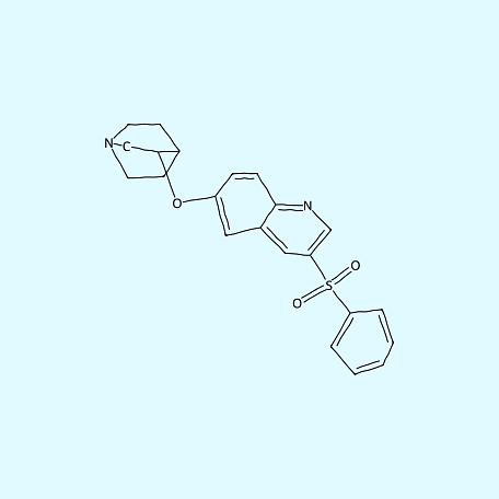 O=S(=O)(c1ccccc1)c1cnc2ccc(OC3CN4CCC3CC4)cc2c1